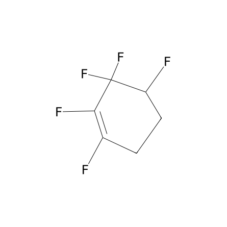 FC1=C(F)C(F)(F)C(F)CC1